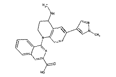 CNC1CCN(c2nc(C(=O)O)cc3ccccc23)c2ccc(-c3cnn(C)c3)cc21